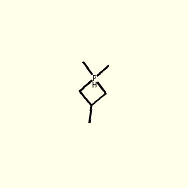 CC1C[PH](C)(C)C1